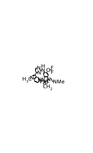 C=CC(=O)Nc1cc(Nc2nccc(-c3cn(C)c4ccc(F)cc34)n2)c(OC(F)F)cc1N(C)CCNC